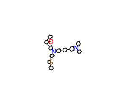 c1ccc(-c2ccc(-c3ccc(N(c4ccc(-c5ccc(-c6ccc(N(c7ccccc7)c7ccccc7)cc6)cc5)cc4)c4ccc(-c5cccc6c5oc5ccccc56)cc4)cc3)s2)cc1